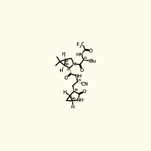 CC(C)(C)[C@H](NC(=O)C(F)(F)F)C(=O)N1C[C@H]2[C@@H]([C@H]1C(=O)N[C@H](C#N)C[C@H]1C(=O)N[C@@H]3C[C@@H]31)C2(C)C